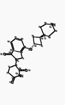 O=C1CCC(N2Cc3c(O[C@H]4C[C@H](N5CCNCC5)C4)cccc3C2=O)C(=O)N1